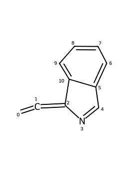 C=C=C1N=Cc2ccccc21